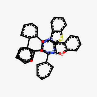 c1ccc(-c2nc3oc4ccccc4c3nc2-c2ccccc2-c2ccccc2-c2nc3c(nc2-c2ccccc2)sc2ccccc23)cc1